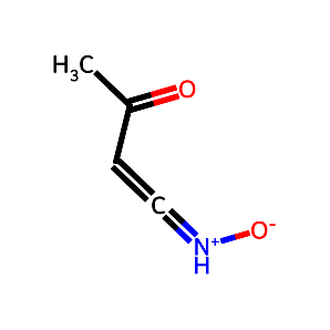 CC(=O)C=C=[NH+][O-]